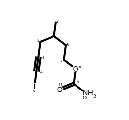 CC(CC#CI)CCOC(N)=O